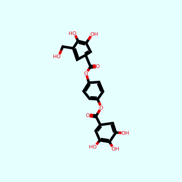 O=C(Oc1ccc(OC(=O)c2cc(O)c(O)c(CO)c2)cc1)c1cc(O)c(O)c(O)c1